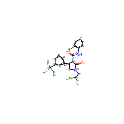 O=C(Nc1ccccc1F)C1C(=O)N(CC(F)F)CC1c1cccc(C(F)(F)F)c1